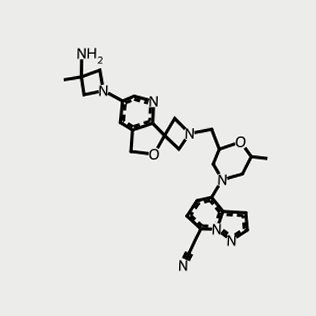 CC1CN(c2ccc(C#N)n3nccc23)CC(CN2CC3(C2)OCc2cc(N4CC(C)(N)C4)cnc23)O1